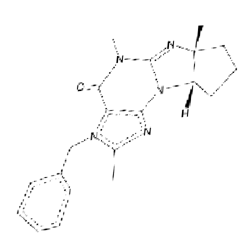 Cc1nc2c(n1Cc1ccccc1)C(=O)N(C)C1=N[C@]3(C)CCC[C@@H]3N12